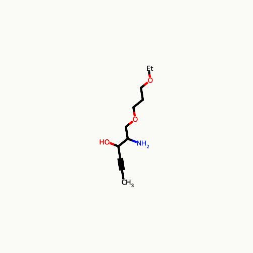 CC#CC(O)C(N)COCCCOCC